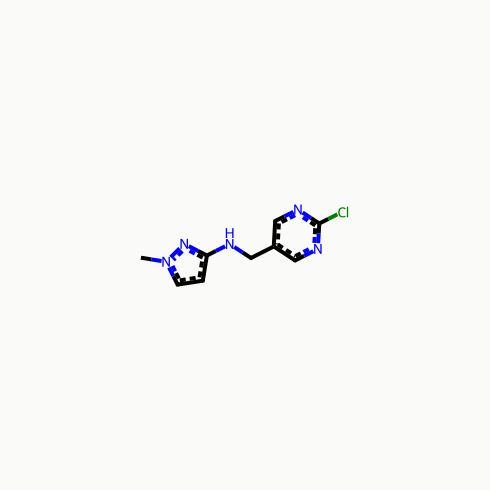 Cn1ccc(NCc2cnc(Cl)nc2)n1